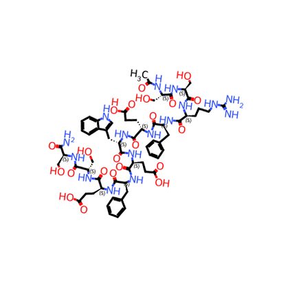 CC(=O)N[C@@H](CO)C(=O)N[C@@H](CO)C(=O)N[C@@H](CCCNC(=N)N)C(=O)N[C@@H](Cc1ccccc1)C(=O)N[C@@H](CCC(=O)O)C(=O)N[C@@H](Cc1c[nH]c2ccccc12)C(=O)N[C@@H](CCC(=O)O)C(=O)N[C@@H](Cc1ccccc1)C(=O)N[C@@H](CCC(=O)O)C(=O)N[C@@H](CO)C(=O)N[C@@H](CO)C(N)=O